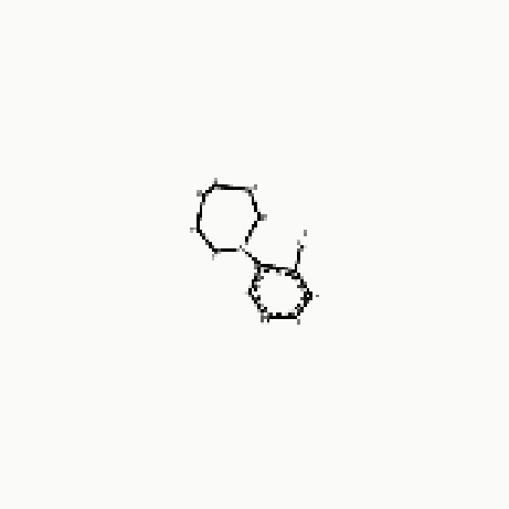 Clc1ccncc1N1C[CH]CCCC1